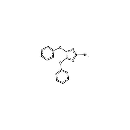 Nc1nc(Oc2ccccc2)c(Oc2ccccc2)o1